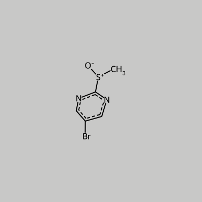 C[S+]([O-])c1ncc(Br)cn1